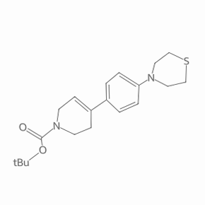 CC(C)(C)OC(=O)N1CC=C(c2ccc(N3CCSCC3)cc2)CC1